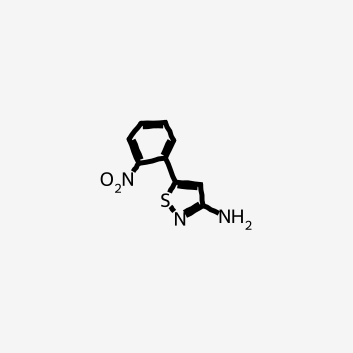 Nc1cc(-c2ccccc2[N+](=O)[O-])sn1